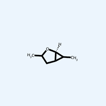 CC1CC2C(C)[C@@H]2O1